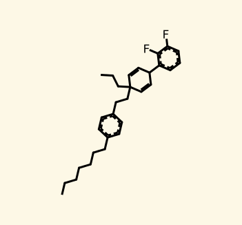 CCCCCCCc1ccc(CCC2(CCC)C=CC(c3cccc(F)c3F)C=C2)cc1